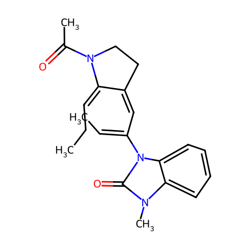 C\C=C(/C=C1/CCN(C(C)=O)/C1=C/CC)n1c(=O)n(C)c2ccccc21